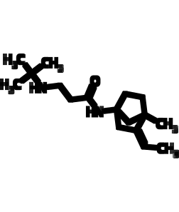 C/C=C1/CC2(NC(=O)CCNC(C)(C)C)CCC1(C)C2